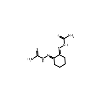 NC(=S)NN=C1CCCCC1=NNC(N)=S